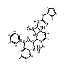 O=C(Cc1cccs1)NC1C(=O)N2C(C(=O)OC(c3ccccc3)c3ccccc3)C(CO)=CS[C@@H]12